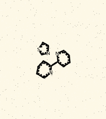 c1ccc(-c2ccccn2)nc1.c1cscn1